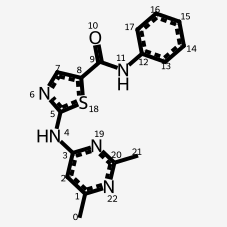 Cc1cc(Nc2ncc(C(=O)Nc3ccccc3)s2)nc(C)n1